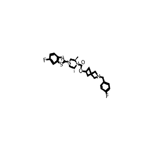 C[C@@H]1CN(c2nc3ccc(F)cc3s2)C[C@@H](C)N1C(=O)OC1CC2(C1)CN(Cc1ccc(F)cc1)C2